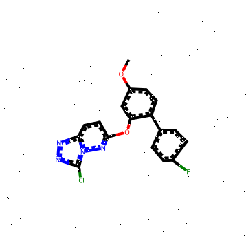 COc1ccc(-c2ccc(F)cc2)c(Oc2ccc3nnc(Cl)n3n2)c1